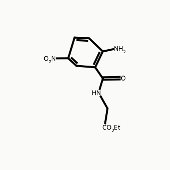 CCOC(=O)CNC(=O)c1cc([N+](=O)[O-])ccc1N